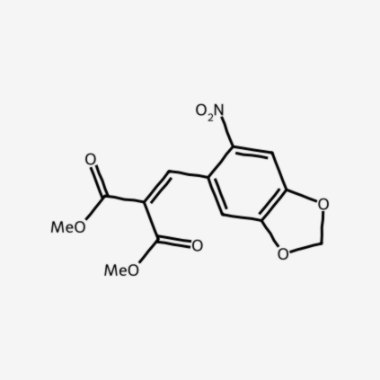 COC(=O)C(=Cc1cc2c(cc1[N+](=O)[O-])OCO2)C(=O)OC